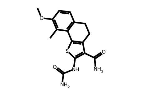 COc1ccc2c(c1C)-c1sc(NC(N)=O)c(C(N)=O)c1CC2